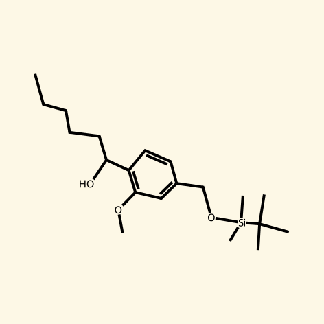 CCCCCC(O)c1ccc(CO[Si](C)(C)C(C)(C)C)cc1OC